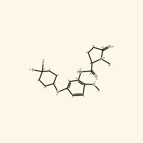 COc1ccc(OC2CCC(F)(F)CC2)cc1NC(=O)C1CCC(=O)N1C